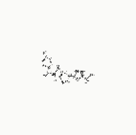 C[C@@H](c1ccc(F)cc1)N1Cc2ncc(-c3nnc(C(F)F)o3)cc2C1=O